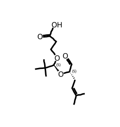 CC(C)=CC[C@@H](C=O)O[C@H](OCCC(=O)O)C(C)(C)C